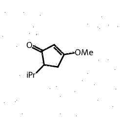 COC1=CC(=O)C(C(C)C)C1